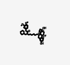 COc1ccc(CC(=O)N(CCCCCC[C@@H]2Cc3cc(O)ccc3[C@@H]3[C@@H]2[C@@H]2CC[C@H](O)[C@@]2(C)C[C@@H]3F)CC2CCCCC2)cc1OC